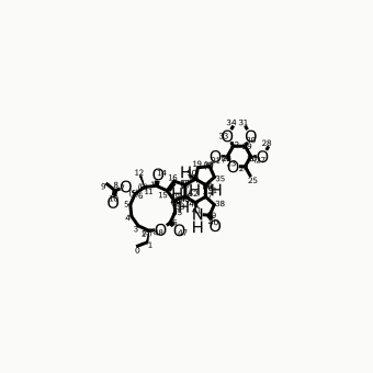 CC[C@H]1CCC[C@H](OC(C)=O)[C@@H](C)C(=O)C2=C[C@H]3[C@@H]4C[C@H](O[C@@H]5OC(C)[C@H](OC)C(OC)C5OC)C[C@H]4C4CC(=O)NC4[C@H]3[C@@H]2CC(=O)O1